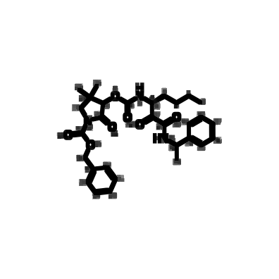 CCCC[C@H](NC(=O)OC1C(=O)N(C(=O)OCc2ccccc2)CC1(C)C)C(=O)C(=O)NC(C)c1ccccc1